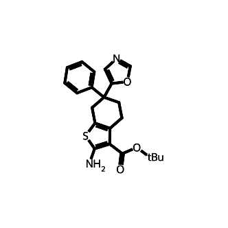 CC(C)(C)OC(=O)c1c(N)sc2c1CCC(c1ccccc1)(c1cnco1)C2